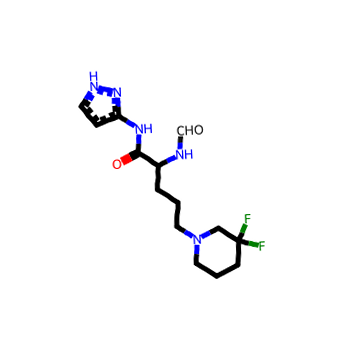 O=CNC(CCCN1CCCC(F)(F)C1)C(=O)Nc1cc[nH]n1